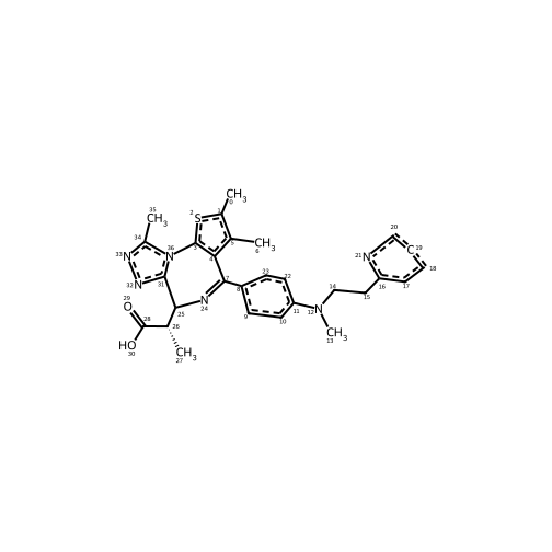 Cc1sc2c(c1C)C(c1ccc(N(C)CCc3ccccn3)cc1)=NC([C@H](C)C(=O)O)c1nnc(C)n1-2